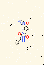 CN1CCN(C(=O)c2ccc(C=C3NC(=O)C(C=Cc4ccccc4)NC3=O)cc2)CC1